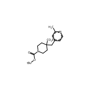 CCOC(=O)C1(Cc2ccnc(C)c2)CCN(C(=O)OC(C)(C)C)CC1